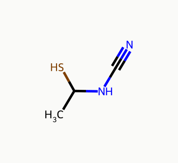 CC(S)NC#N